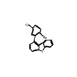 Clc1ccc(Br)c(-c2cccc3sc4ccccc4c23)c1